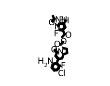 [2H]c1cc(C(=O)COC(=O)[C@@H]2CCC3CC(c4c(N)ccc(Cl)c4F)=CC(=O)N32)c(F)nc1NC(C)=O